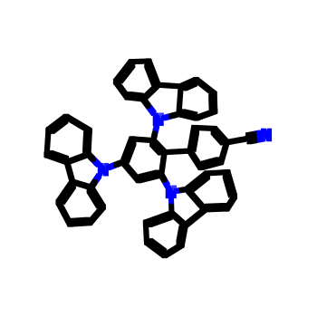 N#Cc1ccc(-c2c(-n3c4ccccc4c4ccccc43)cc(-n3c4ccccc4c4ccccc43)cc2-n2c3ccccc3c3ccccc32)cc1